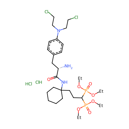 CCOP(=O)(OCC)C(CCC1(NC(=O)[C@@H](N)Cc2ccc(N(CCCl)CCCl)cc2)CCCCC1)P(=O)(OCC)OCC.Cl.Cl